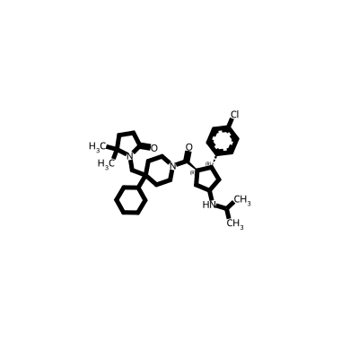 CC(C)NC1C[C@@H](C(=O)N2CCC(CN3C(=O)CCC3(C)C)(C3CCCCC3)CC2)[C@H](c2ccc(Cl)cc2)C1